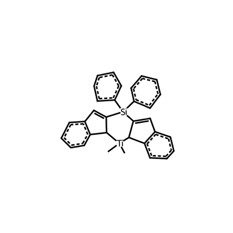 [CH3][Ti]1([CH3])[CH]2C(=Cc3ccccc32)[Si](c2ccccc2)(c2ccccc2)C2=Cc3ccccc3[CH]21